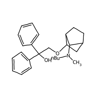 CCCCN(C)C1C2CCC1C(OCC(O)(c1ccccc1)c1ccccc1)C2